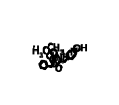 CC(C)(C)OC(=O)N[C@@H](Cc1cc[n+](O)cc1)C(=O)OCc1ccccc1